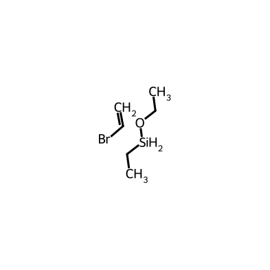 C=CBr.CCO[SiH2]CC